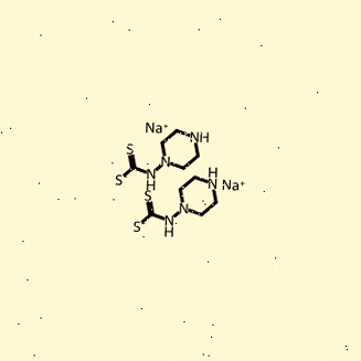 S=C([S-])NN1CCNCC1.S=C([S-])NN1CCNCC1.[Na+].[Na+]